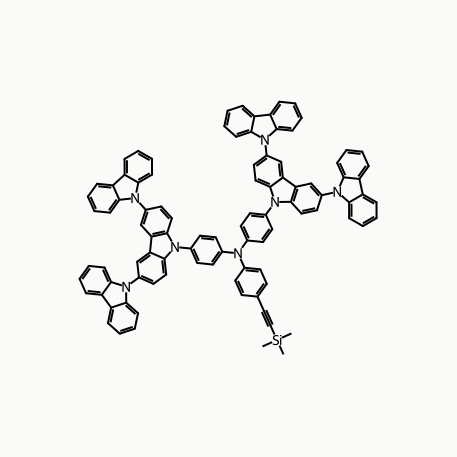 C[Si](C)(C)C#Cc1ccc(N(c2ccc(-n3c4ccc(-n5c6ccccc6c6ccccc65)cc4c4cc(-n5c6ccccc6c6ccccc65)ccc43)cc2)c2ccc(-n3c4ccc(-n5c6ccccc6c6ccccc65)cc4c4cc(-n5c6ccccc6c6ccccc65)ccc43)cc2)cc1